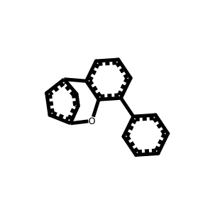 c1ccc(-c2cccc3c2Oc2ccc-3cc2)cc1